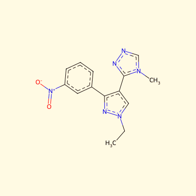 CCn1cc(-c2nncn2C)c(-c2cccc([N+](=O)[O-])c2)n1